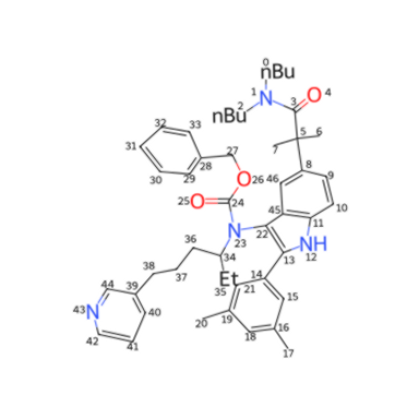 CCCCN(CCCC)C(=O)C(C)(C)c1ccc2[nH]c(-c3cc(C)cc(C)c3)c(N(C(=O)OCc3ccccc3)C(CC)CCCc3cccnc3)c2c1